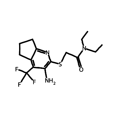 CCN(CC)C(=O)CSc1nc2c(c(C(F)(F)F)c1N)CCC2